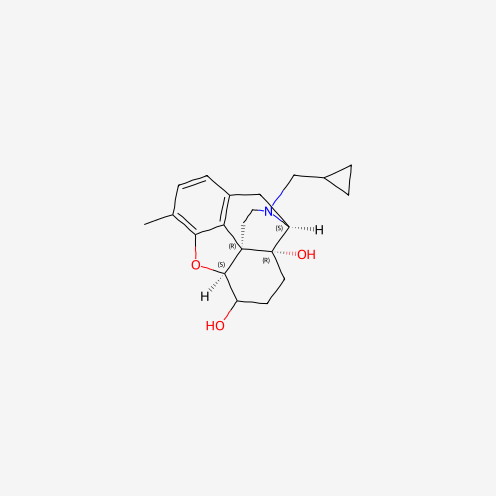 Cc1ccc2c3c1O[C@@H]1C(O)CC[C@]4(O)[C@H](C2)N(CC2CC2)CC[C@@]314